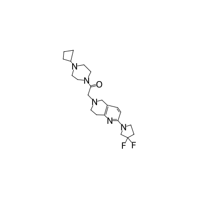 O=C(CN1CCc2nc(N3CCC(F)(F)C3)ccc2C1)N1CCN(C2CCC2)CC1